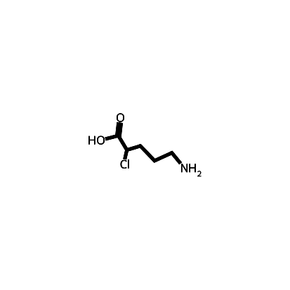 NCCCC(Cl)C(=O)O